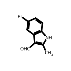 CCc1ccc2[nH]c(C)c(C=O)c2c1